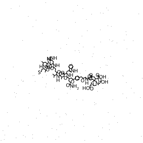 CSCCC(NC(=O)C(CC(C)C)NC(=O)C(Cc1cnc[nH]1)NC(=O)CCC(=O)C(NC(=O)C(C)CC(=O)C(Cc1c[nH]c2ccccc12)NC(=O)C(CCC(N)=O)CC(=O)c1ccc(CC(=O)CNC(=O)CCC2(C(CC(=O)O)CC(=O)O)CN(CC(=O)O)CCN(CC(=O)O)C2)cc1)C(C)C)C(C)=O